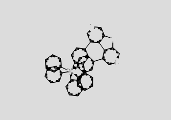 c1ccc(-n2c3ccccc3c3cc(-c4cncc5c4-c4c(cncc4-c4ccc6c(c4)c4ccccc4n6-c4ccccc4)[SiH2]5)ccc32)cc1